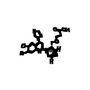 O=C(O)CCOC[C@@H]1[C@@H]2C[C@@H]2CN1c1cc(-n2cncn2)c2cc(Cl)c(Br)cc2n1